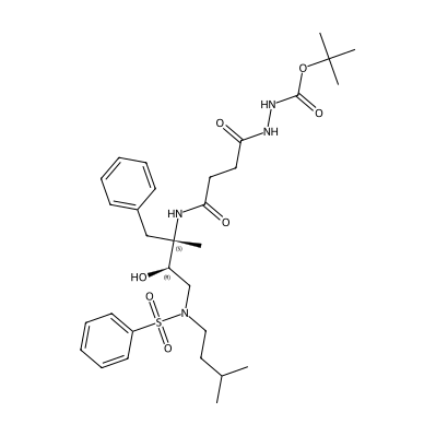 CC(C)CCN(C[C@@H](O)[C@](C)(Cc1ccccc1)NC(=O)CCC(=O)NNC(=O)OC(C)(C)C)S(=O)(=O)c1ccccc1